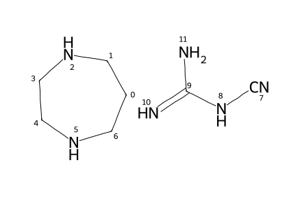 C1CNCCNC1.N#CNC(=N)N